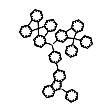 c1ccc(-n2c3ccccc3c3cc(-c4ccc(N(c5ccc6c(c5)C(c5ccccc5)(c5ccccc5)c5ccccc5-6)c5cccc6c5-c5ccccc5C65c6ccccc6-c6ccccc65)cc4)ccc32)cc1